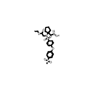 CCOC(=O)CN(C1(C(=O)NO)CCCC1)S(=O)(=O)c1ccc(Oc2ccc(S(C)(=O)=O)cc2)cc1